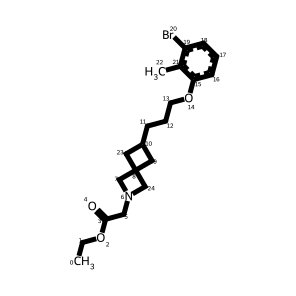 CCOC(=O)CN1CC2(CC(CCCOc3cccc(Br)c3C)C2)C1